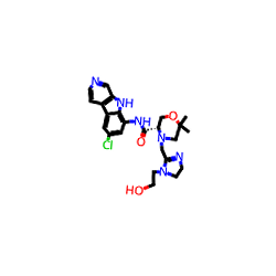 CC1(C)CN(CC2=NCCN2CCO)[C@H](C(=O)Nc2cc(Cl)cc3c2[nH]c2cnccc23)CO1